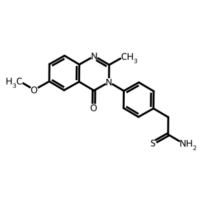 COc1ccc2nc(C)n(-c3ccc(CC(N)=S)cc3)c(=O)c2c1